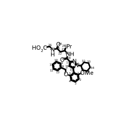 COc1cccc(OCc2ccccc2)c1-c1cc(C(=O)NC(CC(=O)NCC(=O)O)C(C)C)nn1C1CCCCC1